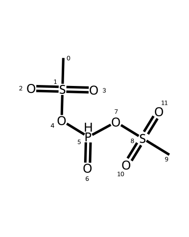 CS(=O)(=O)O[PH](=O)OS(C)(=O)=O